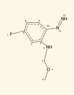 COCNc1cc(F)ccc1N=N